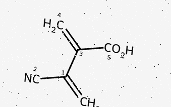 C=C(C#N)C(=C)C(=O)O